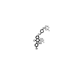 CC(C)SN1CCC(COc2ccc3c(c2)C(C)(C)c2[nH]c4cc(Br)ccc4c2C3=O)CC1